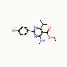 CCOC(=O)c1c(NC)nc(-c2ccc(Cl)cc2)nc1C(C)C